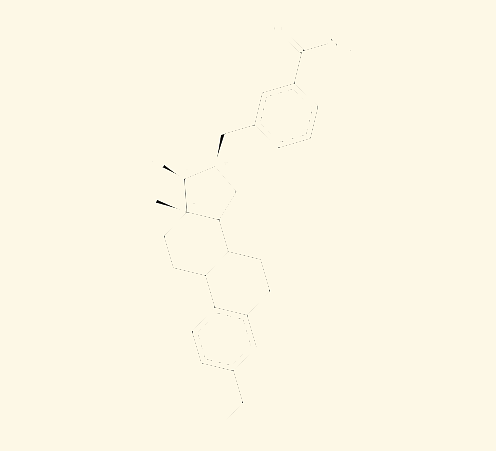 CCc1ccc2c(c1)CCC1C2CC[C@@]2(C)C1C[C@H](Cc1cccc(C(N)=O)c1)[C@@H]2O